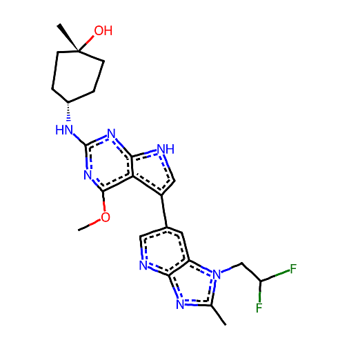 COc1nc(N[C@H]2CC[C@@](C)(O)CC2)nc2[nH]cc(-c3cnc4nc(C)n(CC(F)F)c4c3)c12